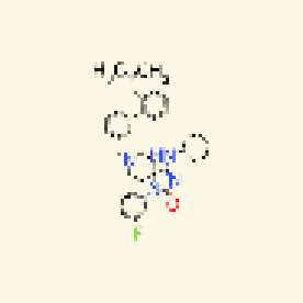 C=C(C)Cc1ccccc1-c1cccc(CN2CCC3(CC2)C(NC2CCCCC2)=NC(=O)N3c2cccc(F)c2)c1